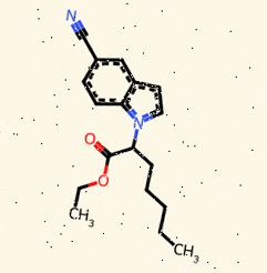 CCCCCC(C(=O)OCC)n1ccc2cc(C#N)ccc21